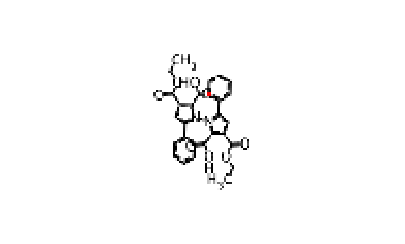 CCOC(=O)c1cc(-c2ccccc2)n(-n2c(-c3ccccc3)cc(C(=O)OCC)c2C(=O)O)c1C(=O)O